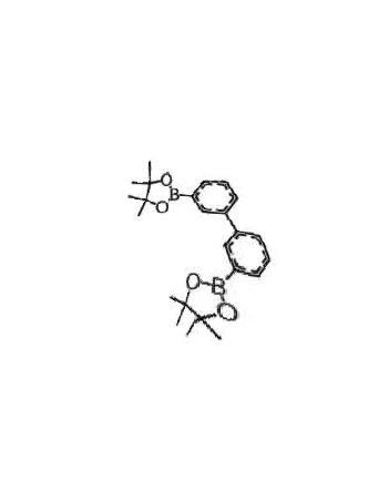 CC1(C)OB(c2cccc(-c3cccc(B4OC(C)(C)C(C)(C)O4)c3)c2)OC1(C)C